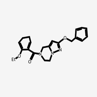 CCOC1=CCCC=C1C(=O)N1CCn2nc(OCc3ccccc3)cc2C1